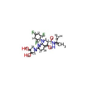 C[C@@H](NC(=O)c1cn(-c2c(F)cc(F)cc2F)c2nc(N3C[C@@H](O)[C@H](O)C3)ccc2c1=O)C1CC1